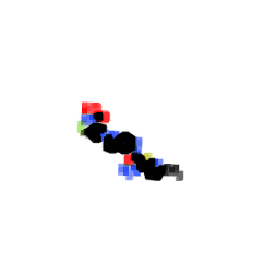 Cc1ccc2c(N)c(C(=O)N[C@H]3CCc4nc(N5C[C@H](CF)[C@H](NC(=O)O)C5)ccc4C3)sc2n1